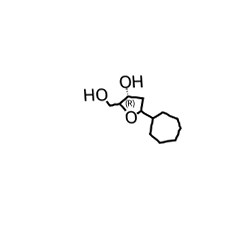 OCC1OC(C2CCCCCC2)C[C@H]1O